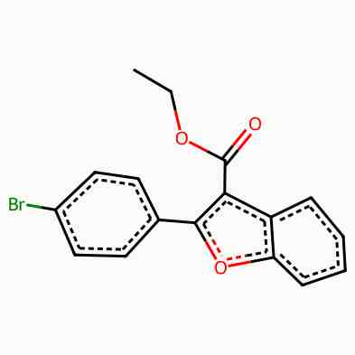 CCOC(=O)c1c(-c2ccc(Br)cc2)oc2ccccc12